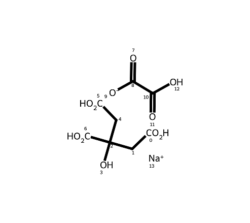 O=C(O)CC(O)(CC(=O)O)C(=O)O.O=C([O-])C(=O)O.[Na+]